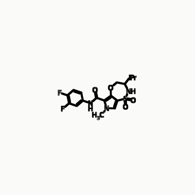 CC(C)C1COc2c(cn(C)c2C(=O)Nc2ccc(F)c(F)c2)S(=O)(=O)N1